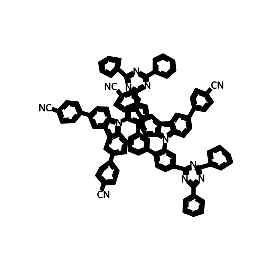 N#Cc1ccc(-c2ccc3c(c2)c2cc(-c4ccc(C#N)cc4)ccc2n3-c2cc(-c3nc(-c4ccccc4)nc(-c4ccccc4)n3)ccc2-c2cccc(-c3ccc(-c4nc(-c5ccccc5)nc(-c5ccccc5)n4)cc3-n3c4ccc(-c5ccc(C#N)cc5)cc4c4cc(-c5ccc(C#N)cc5)ccc43)c2)cc1